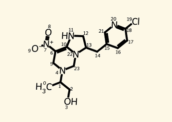 CC(CO)N1CC([N+](=O)[O-])=C2NCC(Cc3ccc(Cl)nc3)N2C1